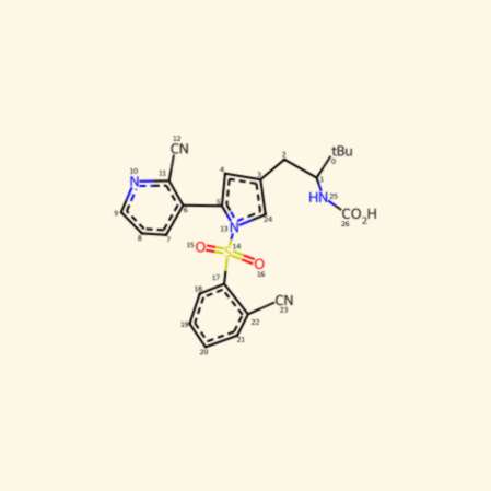 CC(C)(C)C(Cc1cc(-c2cccnc2C#N)n(S(=O)(=O)c2ccccc2C#N)c1)NC(=O)O